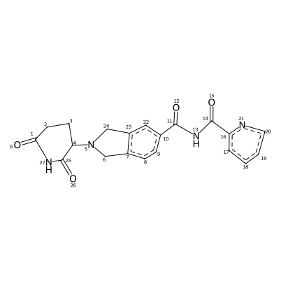 O=C1CCC(N2Cc3ccc(C(=O)NC(=O)c4ccccn4)cc3C2)C(=O)N1